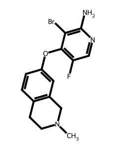 CN1CCc2ccc(Oc3c(F)cnc(N)c3Br)cc2C1